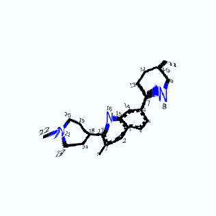 Cc1cc2ccc(C3=NCC(C)CC3)cc2nc1C1CCN(C)CC1